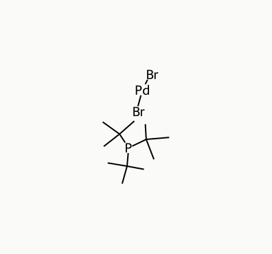 CC(C)(C)P(C(C)(C)C)C(C)(C)C.[Br][Pd][Br]